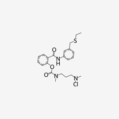 CCSCc1cccc(NC(=O)c2ccccc2OC(=O)N(C)CCCN(C)Cl)c1